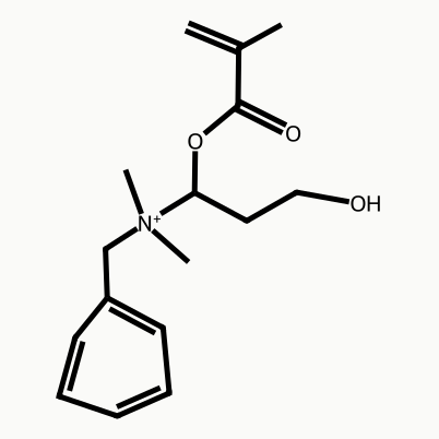 C=C(C)C(=O)OC(CCO)[N+](C)(C)Cc1ccccc1